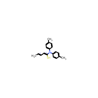 C/C=C/C=C(\S)N(c1ccc(C)cc1)c1ccc(C)cc1